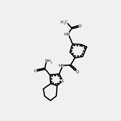 CC(=O)Nc1cccc(C(=O)Nc2sc3c(c2C(N)=O)CCCC3)c1